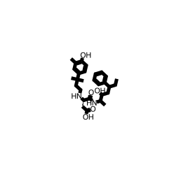 CCC(CC(O)C(C)NC(=O)[C@H](CC(=O)O)NCCC(C)(C)c1ccc(O)c(C)c1)c1ccccc1